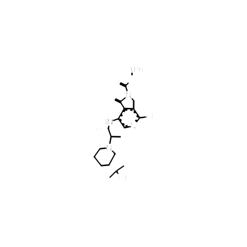 CC([C@H](C)Nc1cnc(Cl)c2c1C(=O)N(C(=O)OC(C)(C)C)C2)N1CCC[C@@H](C(C)(C)O)C1